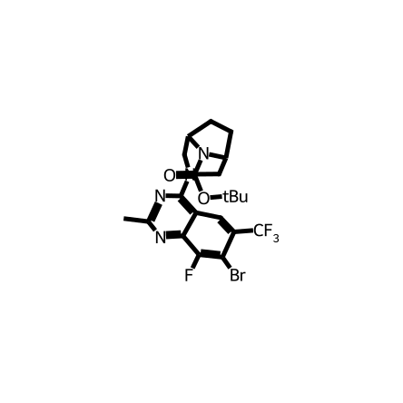 Cc1nc(N2CC3CCC(C2)N3C(=O)OC(C)(C)C)c2cc(C(F)(F)F)c(Br)c(F)c2n1